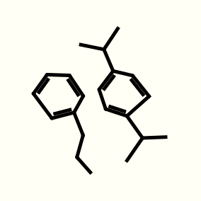 CC(C)c1ccc(C(C)C)cc1.CCCc1ccccc1